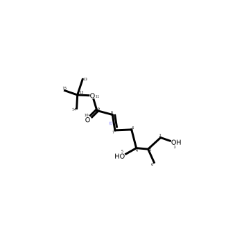 CC(CO)C(O)C/C=C/C(=O)OC(C)(C)C